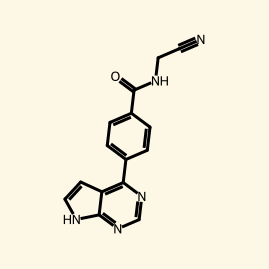 N#CCNC(=O)c1ccc(-c2ncnc3[nH]ccc23)cc1